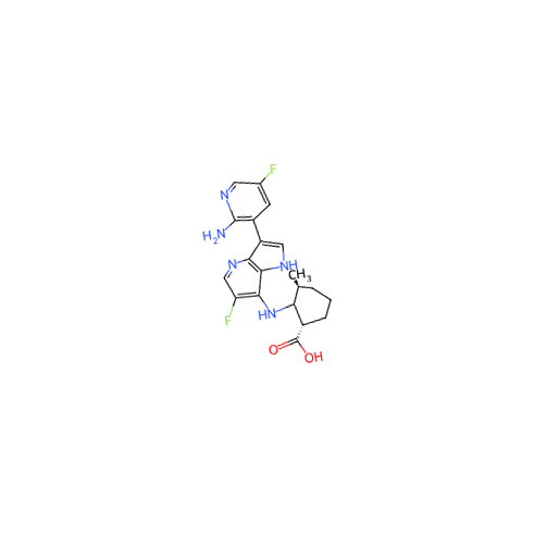 C[C@H]1CCC[C@H](C(=O)O)C1Nc1c(F)cnc2c(-c3cc(F)cnc3N)c[nH]c12